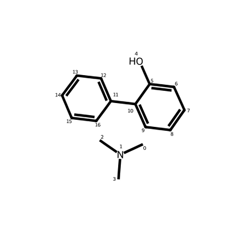 CN(C)C.Oc1ccccc1-c1ccccc1